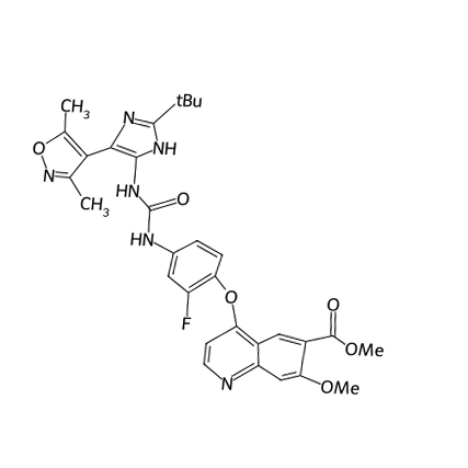 COC(=O)c1cc2c(Oc3ccc(NC(=O)Nc4[nH]c(C(C)(C)C)nc4-c4c(C)noc4C)cc3F)ccnc2cc1OC